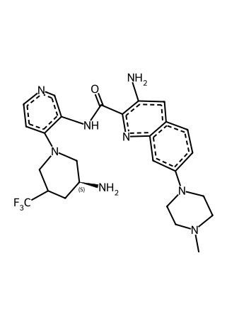 CN1CCN(c2ccc3cc(N)c(C(=O)Nc4cnccc4N4CC(C(F)(F)F)C[C@H](N)C4)nc3c2)CC1